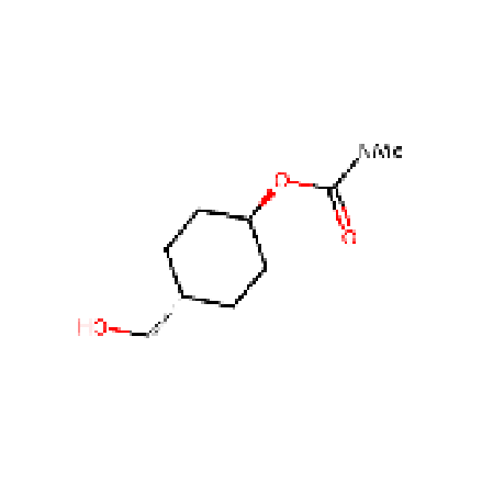 CNC(=O)O[C@H]1CC[C@H](CO)CC1